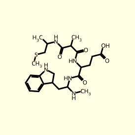 CNC(CC1CNc2ccccc21)NC(=O)C(CCC(=O)O)NC(=O)C(C)C(=O)NC(C)CSC